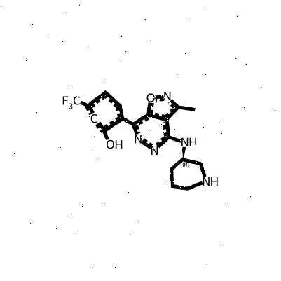 Cc1noc2c(-c3ccc(C(F)(F)F)cc3O)nnc(N[C@@H]3CCCNC3)c12